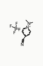 CN(C)[n+]1ccc(C#N)cc1.F[B-](F)(F)F